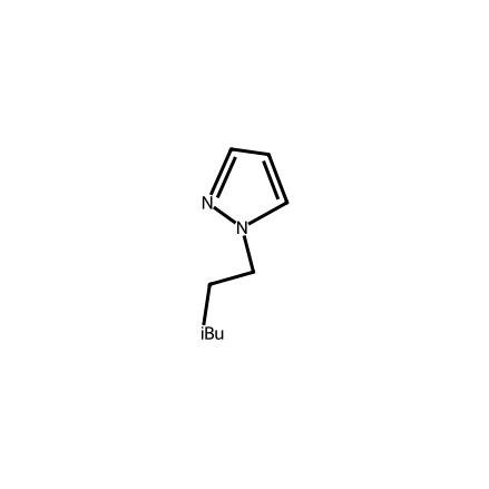 CCC(C)CCn1cccn1